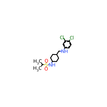 CC(C)S(=O)(=O)NC1CCC(CNc2ccc(Cl)c(Cl)c2)CC1